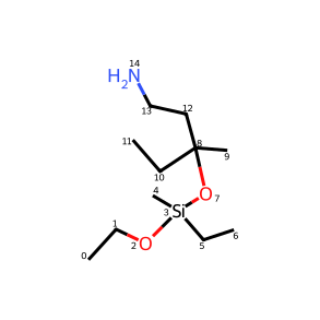 CCO[Si](C)(CC)OC(C)(CC)CCN